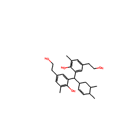 Cc1cc(CCO)cc(C(c2cc(CCO)cc(C)c2O)C2C=CC(C)C(C)C2)c1O